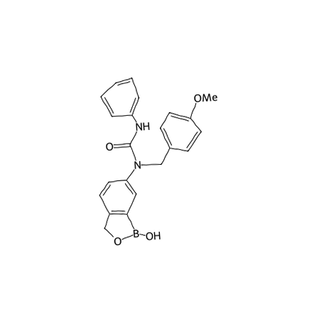 COc1ccc(CN(C(=O)Nc2ccccc2)c2ccc3c(c2)B(O)OC3)cc1